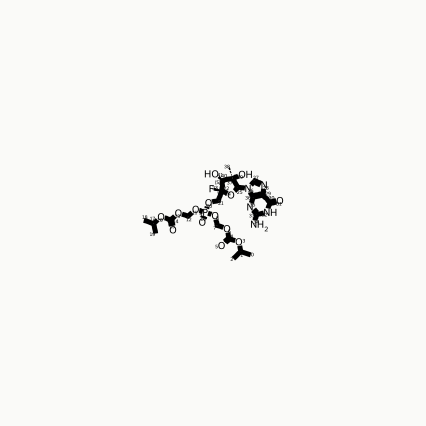 CC(C)OC(=O)OCOP(=O)(OCOC(=O)OC(C)C)OC[C@@]1(F)OC(n2cnc3c(=O)[nH]c(N)nc32)[C@](C)(O)[C@@H]1O